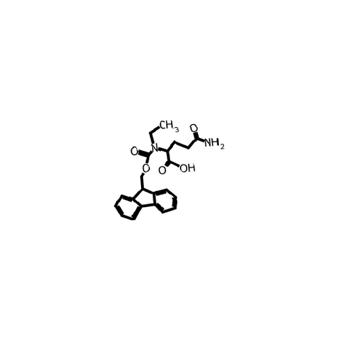 CCN(C(=O)OCC1c2ccccc2-c2ccccc21)C(CCC(N)=O)C(=O)O